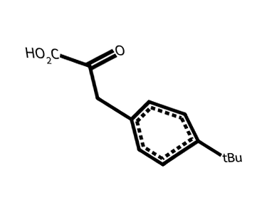 CC(C)(C)c1ccc(CC(=O)C(=O)O)cc1